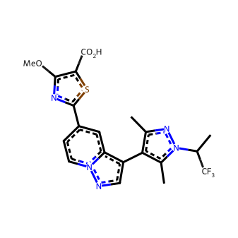 COc1nc(-c2ccn3ncc(-c4c(C)nn(C(C)C(F)(F)F)c4C)c3c2)sc1C(=O)O